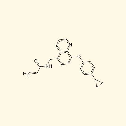 C=CC(=O)NCc1ccc(Oc2ccc(C3CC3)cc2)c2ncccc12